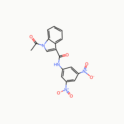 CC(=O)n1cc(C(=O)Nc2cc([N+](=O)[O-])cc([N+](=O)[O-])c2)c2ccccc21